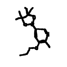 CCCOc1cc(B2OC(C)(C)C(C)(C)O2)cnc1C